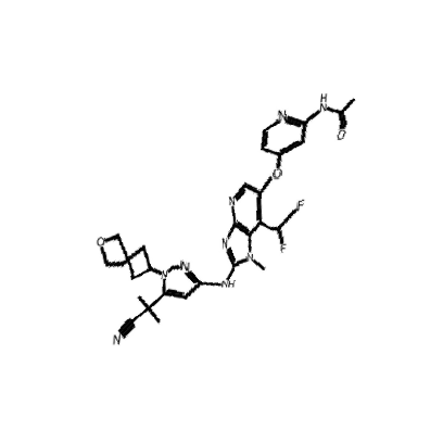 CC(=O)Nc1cc(Oc2cnc3nc(Nc4cc(C(C)(C)C#N)n(C5CC6(COC6)C5)n4)n(C)c3c2C(F)F)ccn1